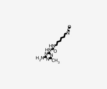 Cc1nc(N)nc(NC(=O)NCCCCCCN=C=O)n1